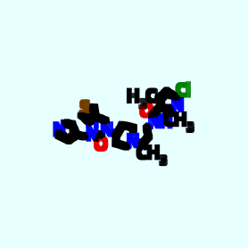 Cc1cc(Cl)nc(C)c1C(=O)NCCC(C)N1CCC(N(Cc2ccsc2)C(=O)NCc2ccncc2)CC1